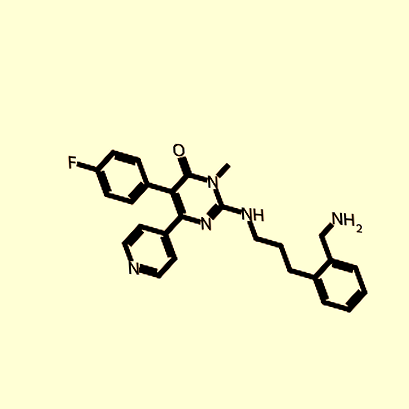 Cn1c(NCCCc2ccccc2CN)nc(-c2ccncc2)c(-c2ccc(F)cc2)c1=O